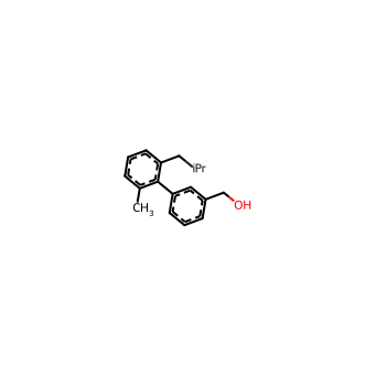 Cc1cccc(CC(C)C)c1-c1cccc(CO)c1